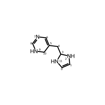 C1=CNC(CC2=CN=CNC2)N1